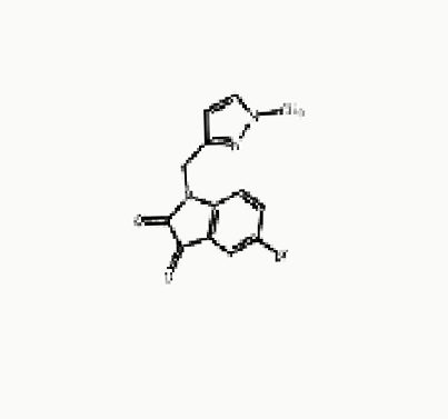 Cn1ccc(CN2C(=O)C(=O)c3cc(Br)ccc32)n1